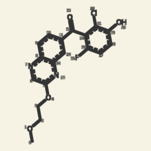 COCCOc1cnc2ccc(C(=O)c3c(F)ccc(O)c3Cl)cc2n1